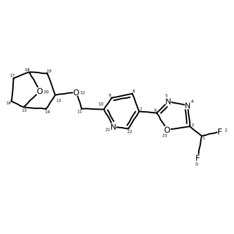 FC(F)c1nnc(-c2ccc(COC3CC4CCC(C3)O4)nc2)o1